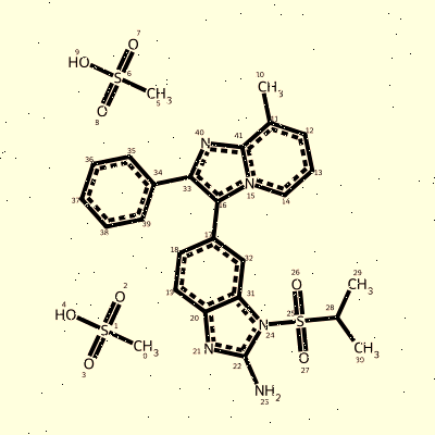 CS(=O)(=O)O.CS(=O)(=O)O.Cc1cccn2c(-c3ccc4nc(N)n(S(=O)(=O)C(C)C)c4c3)c(-c3ccccc3)nc12